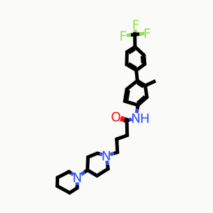 Cc1cc(NC(=O)CCCN2CCC(N3CCCCC3)CC2)ccc1-c1ccc(C(F)(F)F)cc1